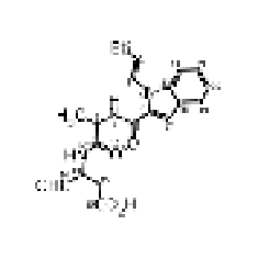 CCC=Cn1c(C(=O)NC(C)C(=O)N[C@H](C=O)CC(=O)O)cc2ccccc21